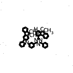 CC1(C)c2ccccc2-c2cc3c4ccccc4n(-c4cccc(-c5nc(-c6ccccc6)nc(-c6cccc7c6-c6ccccc6C7(C)C)n5)c4)c3cc21